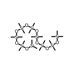 C[Si](C)O[Si](C)(C)O[Si](C)(C)O[Si](C)(C)O[Si](C)(C)O[Si](C)(C)O[Si](C)(C)O[Si](C)(C)O[Si](C)(C)C